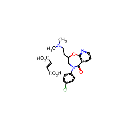 CN(C)CCC1CN(c2ccc(Cl)cc2)C(=O)c2cccnc2O1.O=C(O)C=CC(=O)O